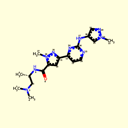 C[C@@H](CN(C)C)NC(=O)c1cc(-c2ccnc(Nc3cnn(C)c3)n2)nn1C